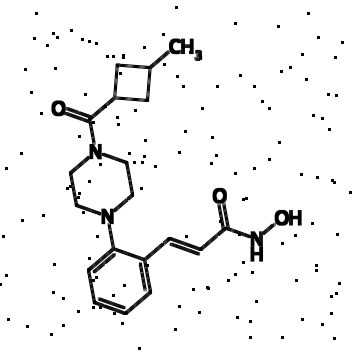 CC1CC(C(=O)N2CCN(c3ccccc3/C=C/C(=O)NO)CC2)C1